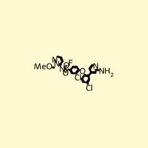 COCn1nccc/c1=N\S(=O)(=O)c1cc(Cl)c(Oc2ccc(Cl)cc2-c2ccnc(N)c2)cc1F